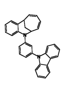 C1=CC2CC(C=C1)N(c1cccc(-n3c4ccccc4c4ccccc43)c1)c1ccccc12